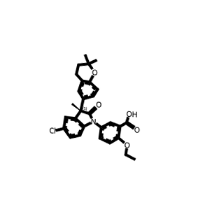 CCOc1ccc(N2C(=O)[C@@](C)(c3ccc4c(c3)CCC(C)(C)O4)c3cc(Cl)ccc32)cc1C(=O)O